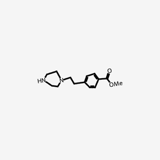 COC(=O)c1ccc(CCN2CCNCC2)cc1